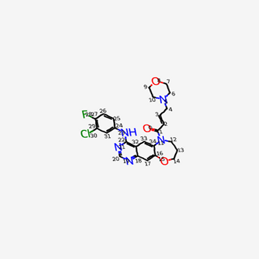 O=C(/C=C/CN1CCOCC1)N1CCCOc2cc3ncnc(Nc4ccc(F)c(Cl)c4)c3cc21